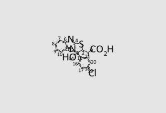 O=C(O)CC1Sc2nc3ccccc3n2C1(O)c1ccc(Cl)cc1